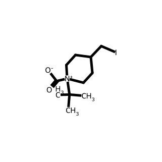 CC(C)(C)[N+]1(C(=O)[O-])CCC(CI)CC1